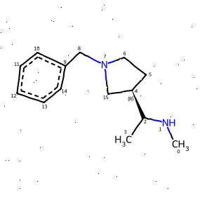 CNC(C)[C@@H]1CCN(Cc2ccccc2)C1